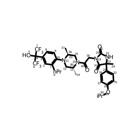 CCCc1cc(C(O)(C(F)(F)F)C(F)(F)F)ccc1N1C[C@@H](C)N(C(=O)CN2C(=O)NC(C)(c3ccc(OC(C)C)cc3)C2=O)C[C@@H]1C